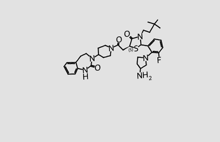 CC(C)(C)CCN1C(=O)[C@H](CC(=O)N2CCC(N3CCc4ccccc4NC3=O)CC2)SC1c1cccc(F)c1N1CCC(N)C1